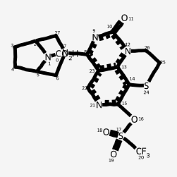 O=C(O)N1C2CCC1CN(c1nc(=O)n3c4c(c(OS(=O)(=O)C(F)(F)F)ncc14)SCC3)C2